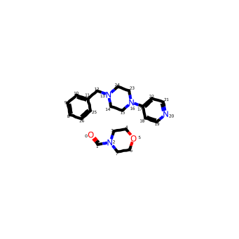 O=CN1CCOCC1.c1ccc(CN2CCN(c3ccncc3)CC2)cc1